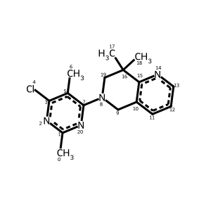 Cc1nc(Cl)c(C)c(N2Cc3cccnc3C(C)(C)C2)n1